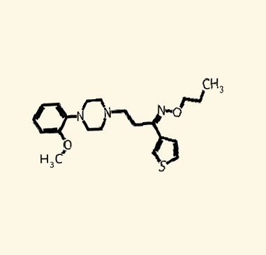 CCCON=C(CCN1CCN(c2ccccc2OC)CC1)c1ccsc1